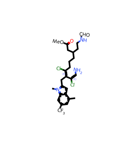 COC(=O)CC(CCC/C(Cl)=C(Cc1cc2c(C)cc(C(F)(F)F)cc2n1C)\C(Cl)=C/N)CCNC=O